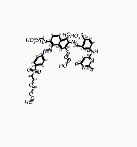 O=S(=O)(O)CNc1ccc2c(O)c(/N=N/c3cc(Nc4cc(F)nc(F)n4)ccc3S(=O)(=O)O)c(SOOO)cc2c1/N=N/c1ccc(S(=O)(=O)CCOSOOO)cc1